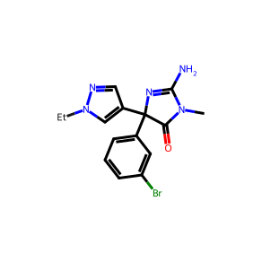 CCn1cc(C2(c3cccc(Br)c3)N=C(N)N(C)C2=O)cn1